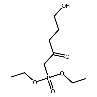 CCOP(=O)(CC(=O)CCCO)OCC